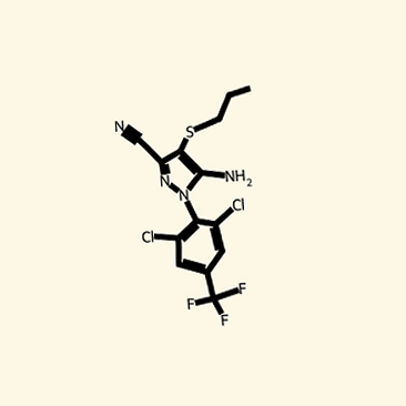 CCCSc1c(C#N)nn(-c2c(Cl)cc(C(F)(F)F)cc2Cl)c1N